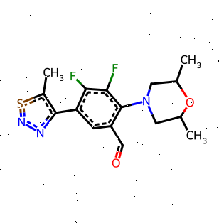 Cc1snnc1-c1cc(C=O)c(N2CC(C)OC(C)C2)c(F)c1F